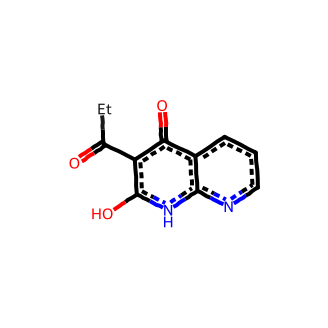 CCC(=O)c1c(O)[nH]c2ncccc2c1=O